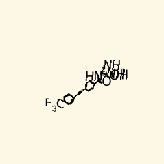 C=C(N[C@@H](CN)C(=O)NO)c1ccc(C#Cc2ccc(C(F)(F)F)cc2)cc1